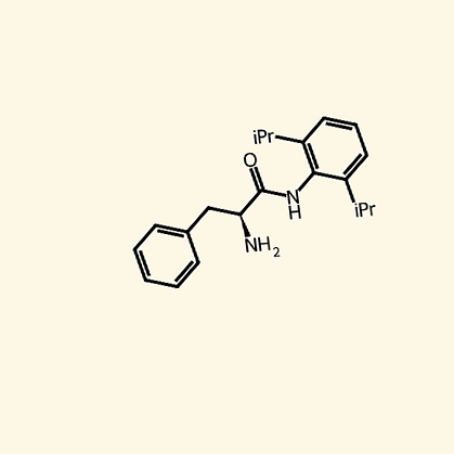 CC(C)c1cccc(C(C)C)c1NC(=O)[C@@H](N)Cc1ccccc1